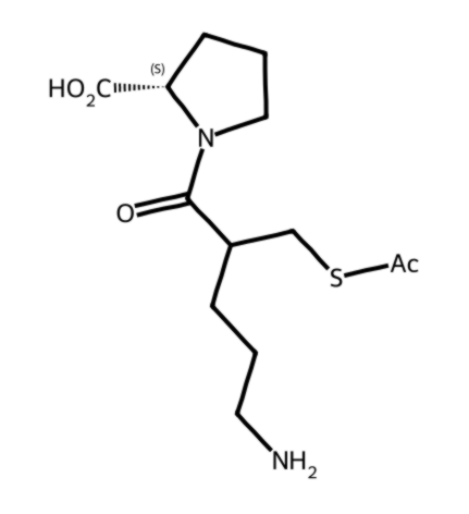 CC(=O)SCC(CCCN)C(=O)N1CCC[C@H]1C(=O)O